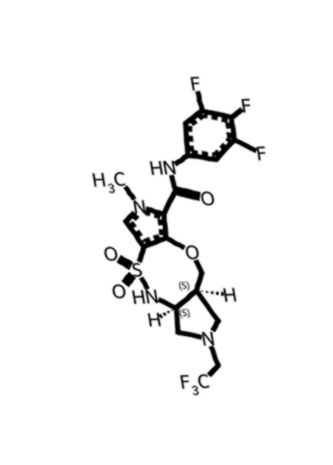 Cn1cc2c(c1C(=O)Nc1cc(F)c(F)c(F)c1)OC[C@H]1CN(CC(F)(F)F)C[C@H]1NS2(=O)=O